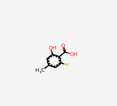 Cc1cc(O)c(C(=O)O)c(F)c1